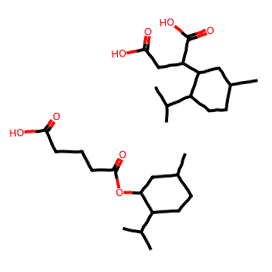 CC1CCC(C(C)C)C(C(CC(=O)O)C(=O)O)C1.CC1CCC(C(C)C)C(OC(=O)CCCC(=O)O)C1